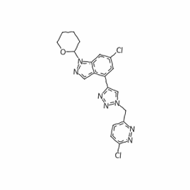 Clc1cc(-c2cn(Cc3ccc(Cl)nn3)nn2)c2cnn(C3CCCCO3)c2c1